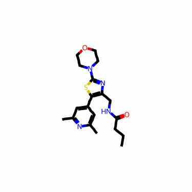 CCCC(=O)NCc1nc(N2CCOCC2)sc1-c1cc(C)nc(C)c1